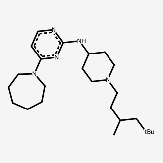 CC(CCN1CCC(Nc2nccc(N3CCCCCC3)n2)CC1)CC(C)(C)C